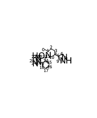 CC1CCC(c2cn[nH]c2)CN1C(O)c1ccccc1-n1nccn1